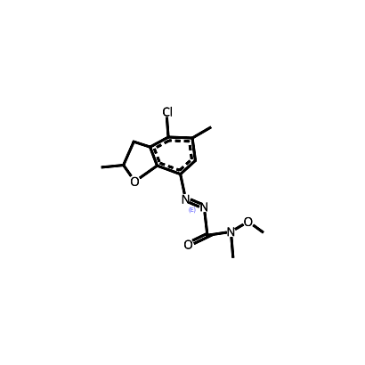 CON(C)C(=O)/N=N/c1cc(C)c(Cl)c2c1OC(C)C2